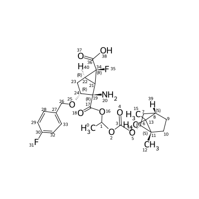 CC(OC(=O)O[C@@H]1C[C@@H]2CC[C@@]1(C)C2(C)C)OC(=O)[C@@]1(N)C2[C@@H](C[C@H]1OCc1ccc(F)cc1)[C@]2(F)C(=O)O